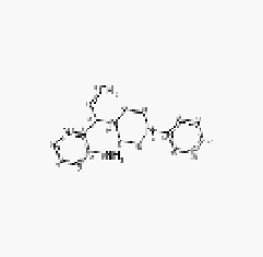 C=CC(c1ncccc1N)N1CCN(c2ccccc2)CC1